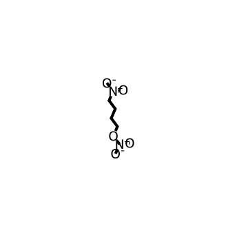 O=[N+]([O-])CCCCO[N+](=O)[O-]